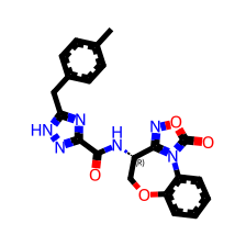 Cc1ccc(Cc2nc(C(=O)N[C@H]3COc4ccccc4-n4c3noc4=O)n[nH]2)cc1